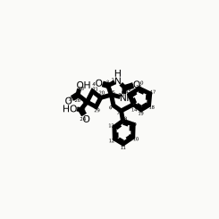 O=C1NC(=O)C(CC(c2ccccc2)c2ccccc2)(C2CC(C(=O)O)(C(=O)O)C2)N1